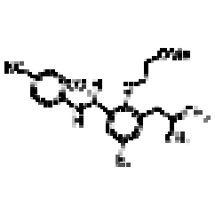 C=C(C)Cc1cc(CC)cc(C(Nc2ccc(C#N)cc2)C(=O)O)c1OCCOC